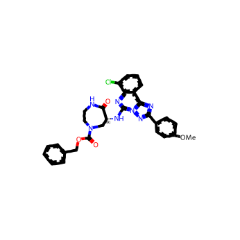 COc1ccc(-c2nc3c4cccc(Cl)c4nc(N[C@@H]4CN(C(=O)OCc5ccccc5)CCNC4=O)n3n2)cc1